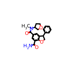 CN(C(=O)c1cc(C(N)=O)c2c(c1)C(c1ccccc1)CO2)C1CCOC1